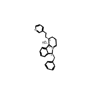 O[C@@]12c3ccccc3[C@H](Cc3ccccc3)N1CCC[C@@H]2CCc1cccnc1